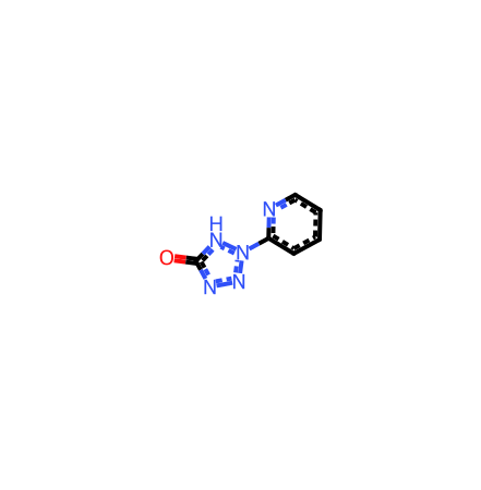 O=c1nnn(-c2ccccn2)[nH]1